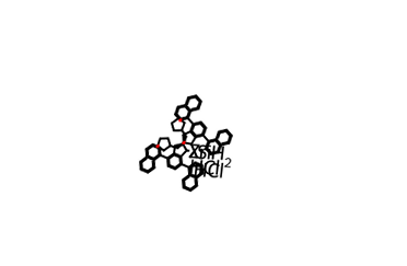 Cl.Cl.[CH3][Zr]([CH3])(=[SiH2])([CH]1C(CC2CCCC2)=Cc2c(-c3cccc4ccccc34)ccc(-c3cccc4ccccc34)c21)[CH]1C(CC2CCCC2)=Cc2c(-c3cccc4ccccc34)ccc(-c3cccc4ccccc34)c21